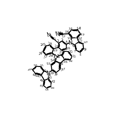 N#Cc1cc(-n2c3ccccc3c3cccc(C#N)c32)ccc1-c1ccccc1-n1c2ccccc2c2ccc(-n3c4ccccc4c4ccccc43)cc21